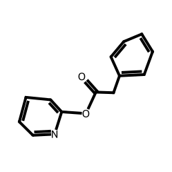 O=C(Cc1ccccc1)Oc1ccccn1